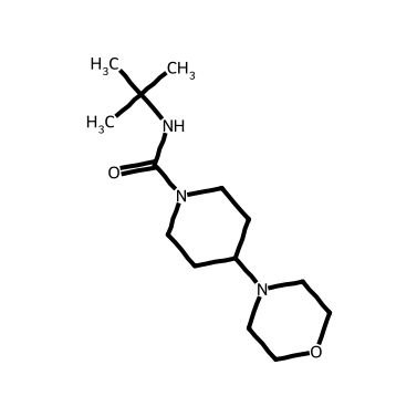 CC(C)(C)NC(=O)N1CCC(N2CCOCC2)CC1